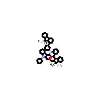 CC1(C)c2ccccc2-c2c(-c3ccccc3N(c3cccc(-c4cccc5c4C(C)(C)c4ccccc4-5)c3)c3cccc4c3c3ccccc3n4-c3ccccc3)cccc21